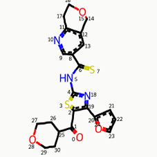 O=C(c1sc(NC(=S)c2cnc3c(c2)COCC3)nc1-c1ccco1)C1CCOCC1